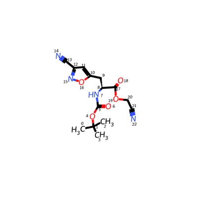 CC(C)(C)OC(=O)N[C@@H](Cc1cc(C#N)no1)C(=O)OCC#N